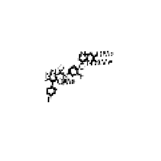 COc1cc2nccc(Oc3ccc(NC(=O)c4nnc(C)c(-c5ccc(F)cc5)c4OC)cc3F)c2nc1OC